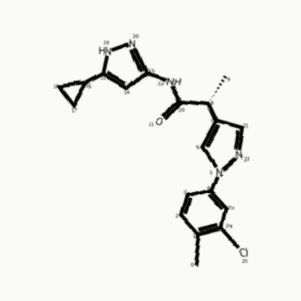 Cc1ccc(-n2cc([C@@H](C)C(=O)Nc3cc(C4CC4)[nH]n3)cn2)cc1Cl